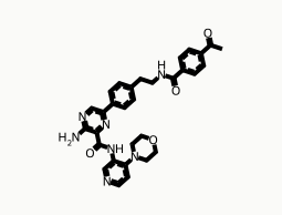 CC(=O)c1ccc(C(=O)NCCc2ccc(-c3cnc(N)c(C(=O)Nc4cnccc4N4CCOCC4)n3)cc2)cc1